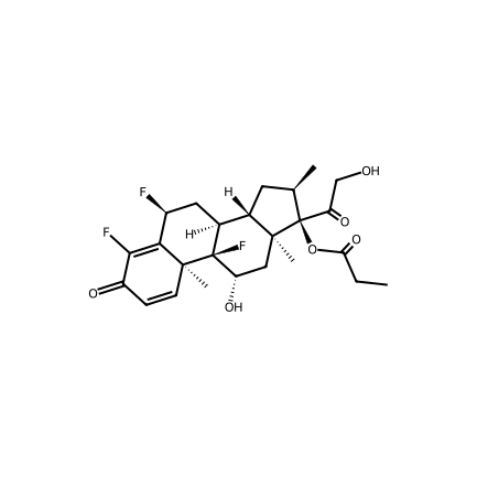 CCC(=O)O[C@]1(C(=O)CO)[C@H](C)C[C@H]2[C@@H]3C[C@H](F)C4=C(F)C(=O)C=C[C@]4(C)[C@@]3(F)[C@@H](O)C[C@@]21C